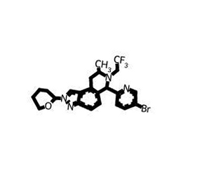 CC1Cc2c(ccc3nn(C4CCCCO4)cc23)C(c2ccc(Br)cn2)N1CC(F)(F)F